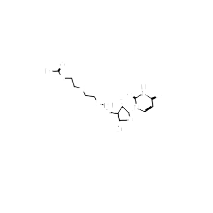 CC[C@H]1O[C@@H](n2ccc(=O)[nH]c2=O)[C@@H](F)C1OPOCCOCCSC(=O)C(C)C